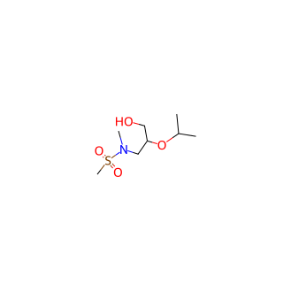 CC(C)OC(CO)CN(C)S(C)(=O)=O